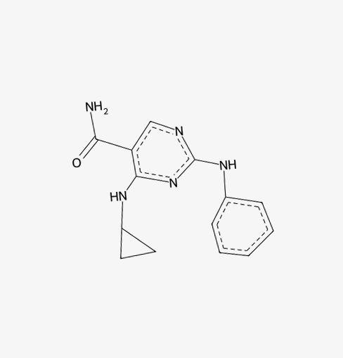 NC(=O)c1cnc(Nc2ccccc2)nc1NC1CC1